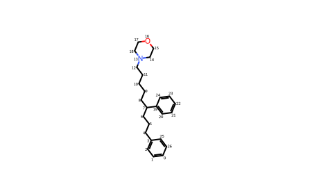 c1ccc(CCCC(CCCCCN2CCOCC2)c2ccccc2)cc1